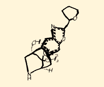 CC1(C)[C@H]2Cc3cc4oc(C5CCCO5)nc4cc3[C@]1(C)CCN2